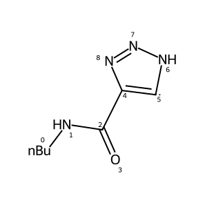 CCCCNC(=O)c1[c][nH]nn1